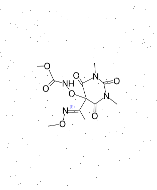 CO/N=C(\C)C1(ONC(=O)OC)C(=O)N(C)C(=O)N(C)C1=O